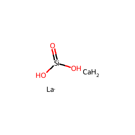 O=[Si](O)O.[CaH2].[La]